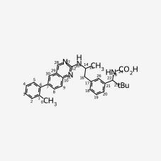 Cc1ccccc1-c1ccc2nc(NC(C)Cc3cccc(C(NC(=O)O)C(C)(C)C)c3)ncc2c1